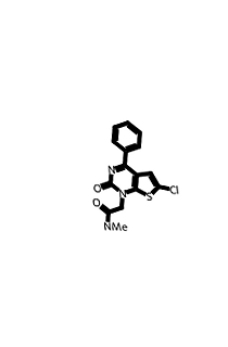 CNC(=O)Cn1c(=O)nc(-c2ccccc2)c2cc(Cl)sc21